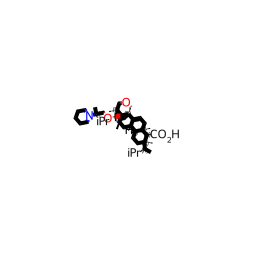 CC(C)[C@@H](C)[C@@]1(C)CC[C@]2(C)[C@H]3CC[C@@H]4[C@@]5(COC[C@]4(C)[C@@H](OC[C@@](C)(C(C)C)N4CCCCC4)[C@H](C)C5)C3=CC[C@@]2(C)[C@@H]1C(=O)O